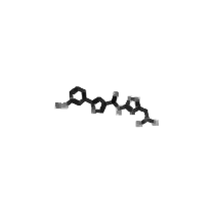 CCN(CC)Cc1nsc(NC(=O)c2coc(-c3cccc(OC)c3)c2)n1